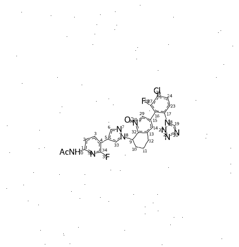 CC(=O)Nc1ccc(-c2cnn(C3CCCc4cc(-c5c(-n6cnnn6)ccc(Cl)c5F)c[n+]([O-])c43)c2)c(F)n1